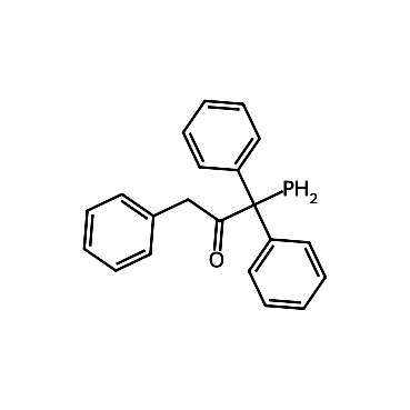 O=C(Cc1ccccc1)C(P)(c1ccccc1)c1ccccc1